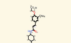 COc1cc(/C=C/C(=O)NC2CCC(C)CC2)ccc1OCC(=O)O